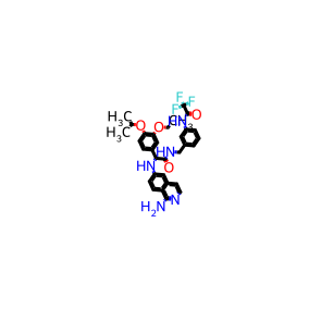 CCOc1cc(C(Nc2ccc3c(N)nccc3c2)C(=O)NCc2cccc(NC(=O)C(F)(F)F)c2)ccc1OC(C)C